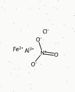 O=[N+]([O-])[O-].[Al+3].[Cl-].[Fe+2]